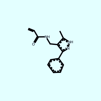 C=CC(=O)NCc1c(-c2ccccc2)n[nH]c1C